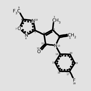 C=C1C(C)=C(c2noc(C(F)(F)F)n2)C(=O)N1c1ccc(F)cc1